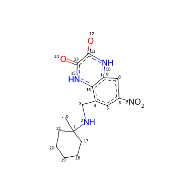 [CH2]C1(NCc2cc([N+](=O)[O-])cc3[nH]c(=O)c(=O)[nH]c23)CCCCC1